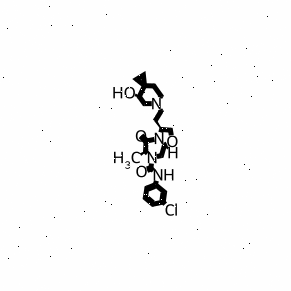 C[C@H]1C(=O)N2[C@@H](CCN3CCC4(CC4)[C@H](O)C3)CO[C@@H]2CN1C(=O)Nc1cccc(Cl)c1